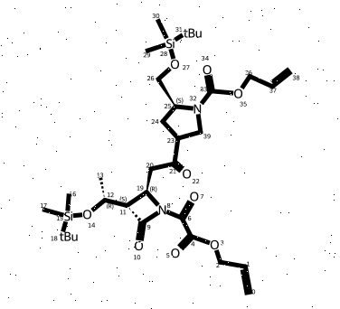 C=CCOC(=O)C(=O)N1C(=O)[C@H]([C@@H](C)O[Si](C)(C)C(C)(C)C)[C@H]1CC(=O)C1C[C@@H](CO[Si](C)(C)C(C)(C)C)N(C(=O)OCC=C)C1